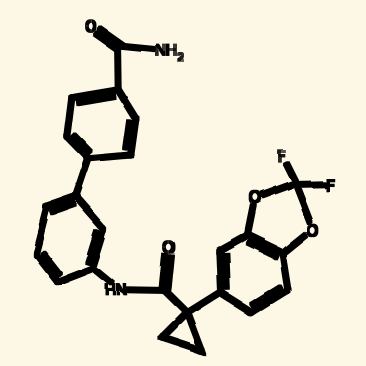 NC(=O)c1ccc(-c2cccc(NC(=O)C3(c4ccc5c(c4)OC(F)(F)O5)CC3)c2)cc1